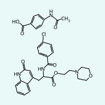 CC(=O)Nc1ccc(C(=O)O)cc1.O=C(NC(Cc1cc(=O)[nH]c2ccccc12)C(=O)OCCN1CCOCC1)c1ccc(Cl)cc1